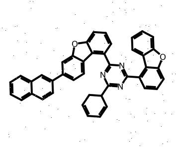 C1=CCC(c2nc(-c3cccc4oc5ccccc5c34)nc(-c3cccc4oc5cc(-c6ccc7ccccc7c6)ccc5c34)n2)C=C1